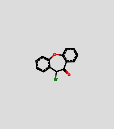 O=C1c2ccccc2Oc2ccccc2C1Br